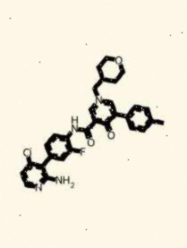 Cc1ccc(-c2cn(CC3CCOCC3)cc(C(=O)Nc3ccc(-c4c(Cl)ccnc4N)cc3F)c2=O)cc1